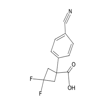 N#Cc1ccc(C2(C(=O)O)CC(F)(F)C2)cc1